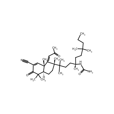 CCCC(C)(C)CC[C@@](C)(CCC(C)(C)[C@]1(C)CC[C@H]2C(C)(C)C(=O)C(C#N)=C[C@]2(C)/C1=C/C(C)=O)NC(N)=O